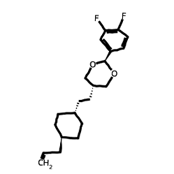 C=CC[C@H]1CC[C@H](CC[C@H]2CO[C@H](c3ccc(F)c(F)c3)OC2)CC1